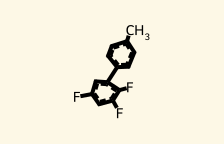 Cc1ccc(-c2cc(F)cc(F)c2F)cc1